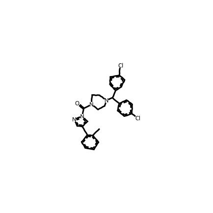 Cc1ccccc1-c1cnn(C(=O)N2CCN(C(c3ccc(Cl)cc3)c3ccc(Cl)cc3)CC2)c1